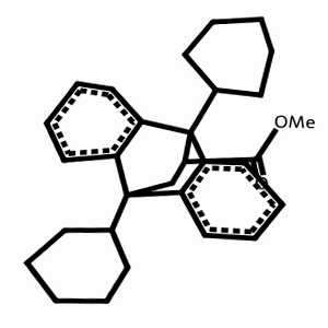 COC(=O)C1CC2(C3CCCCC3)c3ccccc3C1(C1CCCCC1)c1ccccc12